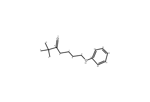 CC(C)(C)C(=O)CCCCOc1ccccc1